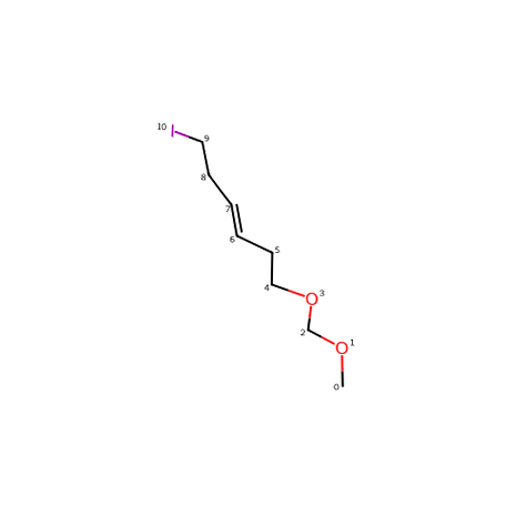 COCOCC/C=C/CCI